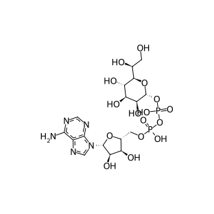 Nc1ncnc2c1ncn2[C@@H]1O[C@H](COP(=O)(O)OP(=O)(O)O[C@H]2O[C@H]([C@@H](O)CO)[C@@H](O)[C@H](O)[C@@H]2O)[C@@H](O)[C@H]1O